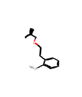 C=C(C)COCCc1ccccc1S(=O)(=O)O